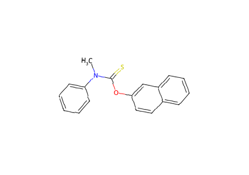 CN(C(=S)Oc1ccc2ccccc2c1)c1ccccc1